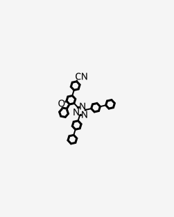 N#Cc1ccc(-c2cc(-c3nc(-c4ccc(-c5ccccc5)cc4)nc(-c4ccc(-c5ccccc5)cc4)n3)c3c(c2)oc2ccccc23)cc1